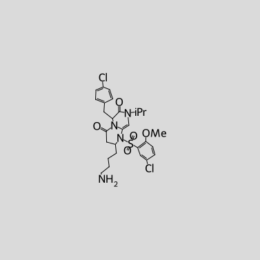 COc1ccc(Cl)cc1S(=O)(=O)N1C2=CN(C(C)C)C(=O)C(Cc3ccc(Cl)cc3)N2C(=O)CC1CCCCN